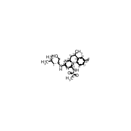 CC(C)C[C@H](CO)Nc1nc(CC(C)c2cccc(F)c2)nc(NS(C)(=O)=O)n1